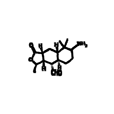 C[C@H]1OC(=O)[C@@H]2C[C@H]3[C@@H](CCC(N)C3(C)C)[C@H](C=O)[C@H]12